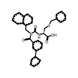 O=C(O)[C@H](CSCc1ccccc1)NC(=O)N(Cc1cccc2ccccc12)C(=O)c1cccc(-c2ccccc2)c1